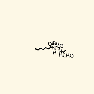 C=CCCCCC(=O)N[C@H](C(=O)N[C@@H](C)C=O)[C@@H](C)CC